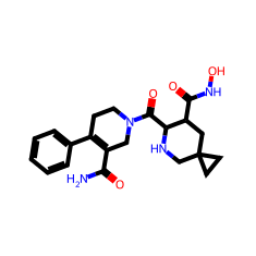 NC(=O)C1=C(c2ccccc2)CCN(C(=O)C2NCC3(CC3)CC2C(=O)NO)C1